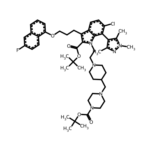 Cc1nn(C)c(C)c1-c1c(Cl)ccc2c(CCCOc3cccc4cc(F)ccc34)c(C(=O)OC(C)(C)C)n(CCN3CCC(CN4CCN(C(=O)OC(C)(C)C)CC4)CC3)c12